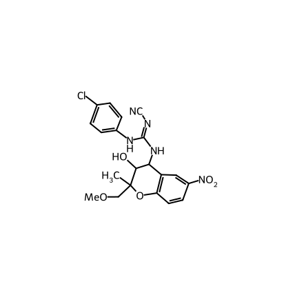 COCC1(C)Oc2ccc([N+](=O)[O-])cc2C(NC(=NC#N)Nc2ccc(Cl)cc2)C1O